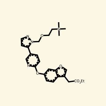 CCOC(=O)Cc1coc2cc(Oc3ccc(-c4ccnn4COCC[Si](C)(C)C)cn3)ccc12